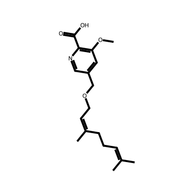 COc1cc(COCC=C(C)CCC=C(C)C)cnc1C(=O)O